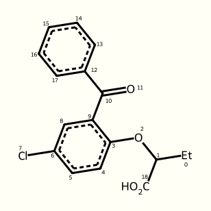 CCC(Oc1ccc(Cl)cc1C(=O)c1ccccc1)C(=O)O